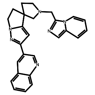 c1ccc2ncc(-c3cc4n(n3)CCC43CCN(Cc4ncc5ccccn45)C3)cc2c1